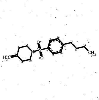 C=C1CCN(S(=O)(=O)c2ccc(CCCC)cc2)CC1